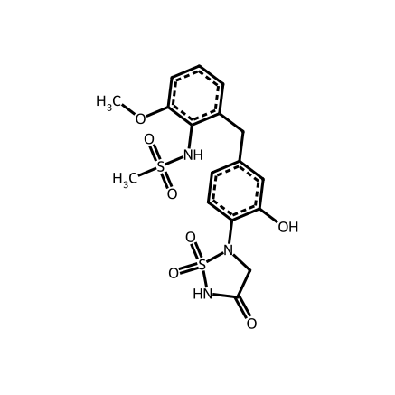 COc1cccc(Cc2ccc(N3CC(=O)NS3(=O)=O)c(O)c2)c1NS(C)(=O)=O